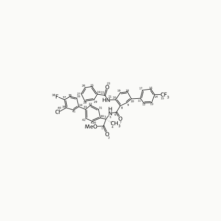 COC(=O)[C@](C)(NC(=O)c1cc(-c2ccc(C(F)(F)F)cc2)ccc1NC(=O)c1ccccc1)c1ccc(-c2ccc(F)c(Cl)c2)cc1